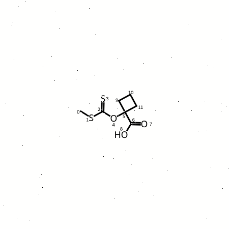 CSC(=S)OC1(C(=O)O)CCC1